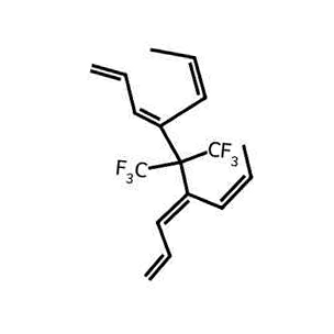 C=C/C=C(\C=C/C)C(C(/C=C\C)=C/C=C)(C(F)(F)F)C(F)(F)F